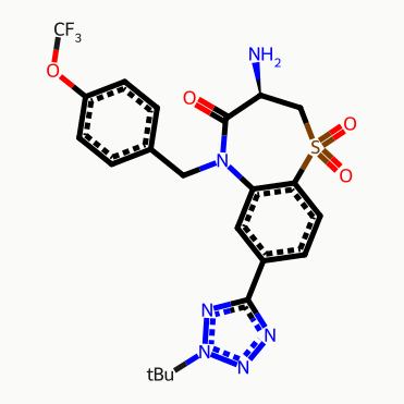 CC(C)(C)n1nnc(-c2ccc3c(c2)N(Cc2ccc(OC(F)(F)F)cc2)C(=O)[C@@H](N)CS3(=O)=O)n1